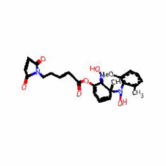 COc1cccc(C)c1N(O)C1(C)C=CC=C(OC(=O)CCCCN2C(=O)C=CC2=O)/C1=N\O